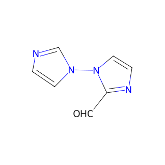 O=Cc1nccn1-n1ccnc1